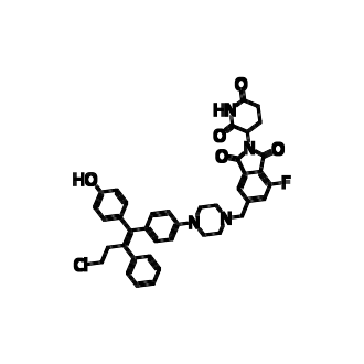 O=C1CCC(N2C(=O)c3cc(CN4CCN(c5ccc(C(=C(CCCl)c6ccccc6)c6ccc(O)cc6)cc5)CC4)cc(F)c3C2=O)C(=O)N1